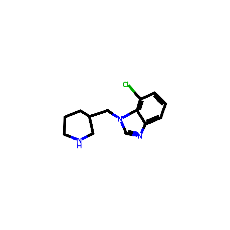 Clc1cccc2n[c]n(CC3CCCNC3)c12